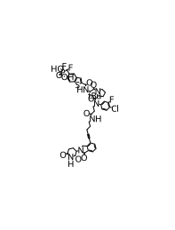 CC(C)(C)C(NC(=O)c1cc2cc(C(F)(F)P(=O)(O)O)ccc2s1)C(=O)N1CCC[C@H]1C(=O)N(CCC(=O)NCCCC#Cc1cccc2c1CN(C1CCC(=O)NC1=O)C2=O)c1ccc(Cl)c(F)c1